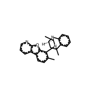 Cc1ccc2c(oc3ncccc32)c1N1[C@@H](C)N2CCC1(C)c1ccccc12